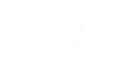 CCn1c(=O)c2ccc(N)nc2n(-c2cc(OC)cc(OC)c2)c1=O